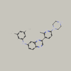 COc1cc(Nc2ccc3ncc(-c4ccc(N5CCNCC5)nc4C)nc3c2)cc(OC)c1